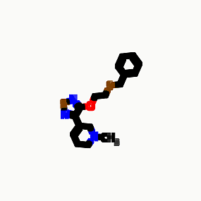 CN1CCC=C(c2nsnc2OCCSCc2ccccc2)C1